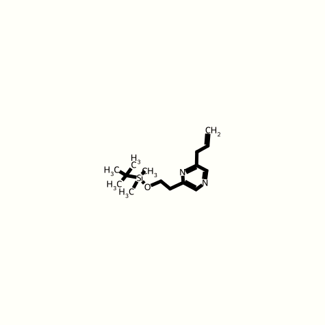 C=CCc1cncc(CCO[Si](C)(C)C(C)(C)C)n1